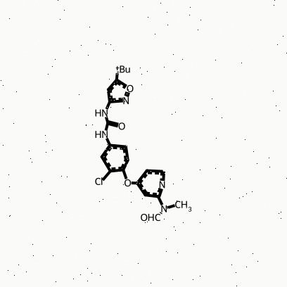 CN(C=O)c1cc(Oc2ccc(NC(=O)Nc3cc(C(C)(C)C)on3)cc2Cl)ccn1